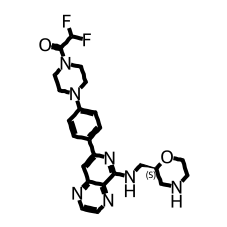 O=C(C(F)F)N1CCN(c2ccc(-c3cc4nccnc4c(NC[C@@H]4CNCCO4)n3)cc2)CC1